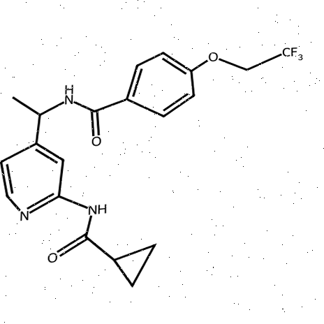 CC(NC(=O)c1ccc(OCC(F)(F)F)cc1)c1ccnc(NC(=O)C2CC2)c1